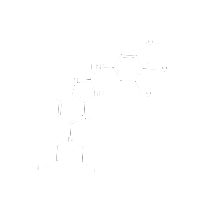 COc1cc(Nc2nc3ccc(N(CCC(C)C)CCC(C)C)nc3[nH]2)cc(OC)c1OC